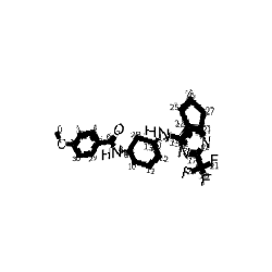 COc1ccc(C(=O)N[C@@H]2CCC[C@H](Nc3nc(C(F)(F)F)nc4c3CCC4)C2)cc1